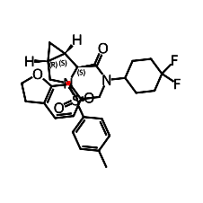 Cc1ccc(S(=O)(=O)N2C[C@@H]3C[C@@H]3[C@H]2C(=O)N(Cc2ccc3c(c2)OCC3)C2CCC(F)(F)CC2)cc1